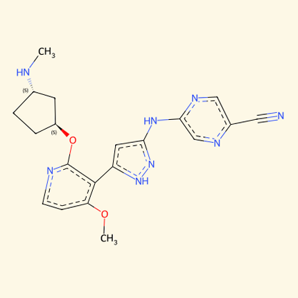 CN[C@H]1CC[C@H](Oc2nccc(OC)c2-c2cc(Nc3cnc(C#N)cn3)n[nH]2)C1